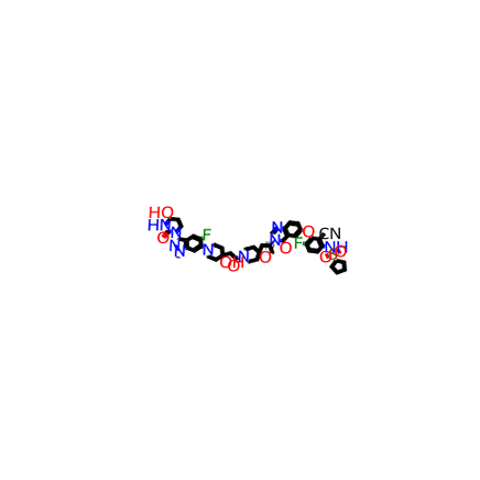 Cn1nc(N2CCC(O)NC2=O)c2cc(F)c(N3CCC(O)(CC(=O)N4CCC5(CC4)C[C@@H](n4cnc6ccc(Oc7c(F)ccc(NS(=O)(=O)C8CCCC8)c7C#N)cc6c4=O)CO5)CC3)cc21